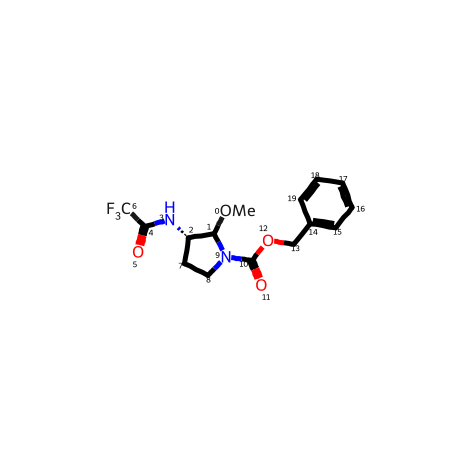 COC1[C@@H](NC(=O)C(F)(F)F)CCN1C(=O)OCc1ccccc1